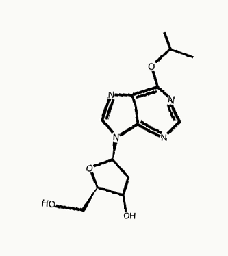 CC(C)Oc1ncnc2c1ncn2[C@H]1CC(O)[C@@H](CO)O1